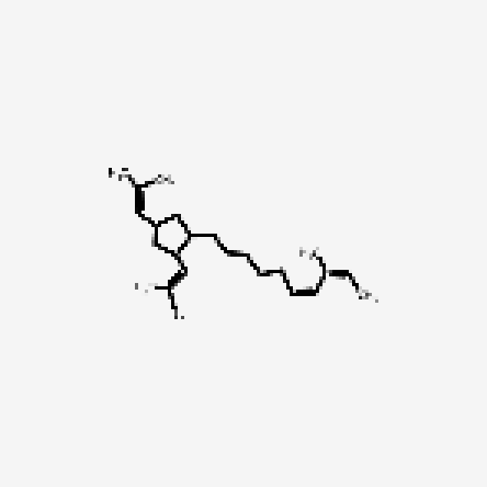 C/C=[N+](C)\C=C/CCCCCC1CC(C=C(C)C)CC1/C=C(\C)CC